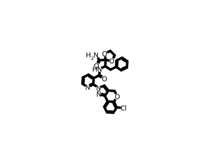 NC(=O)C1(C(Cc2ccccc2)NC(=O)c2cccnc2-n2cc3c(n2)-c2cccc(Cl)c2OC3)OCCO1